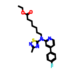 CCOC(=O)CCCCCCN(c1cc(-c2ccc(F)cc2)ccn1)c1nc(C)ns1